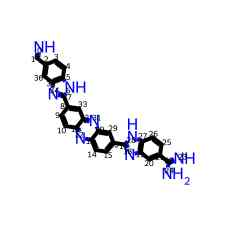 N=Cc1ccc2[nH]c(-c3ccc4nc5ccc(-c6nc7cc(C(=N)N)ccc7[nH]6)cc5nc4c3)nc2c1